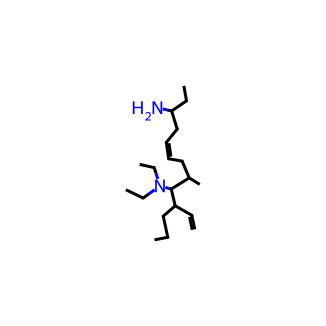 C=CC(CCC)C(C(C)C/C=C\CC(N)CC)N(CC)CC